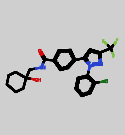 O=C(NCC1(O)CCCCC1)c1ccc(-c2cc(C(F)(F)F)nn2-c2ccccc2Cl)cc1